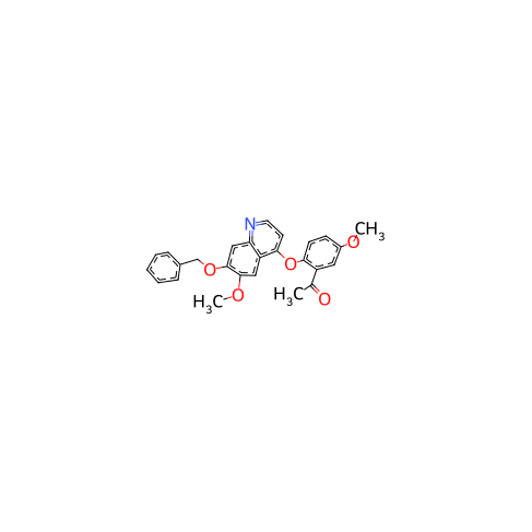 COc1ccc(Oc2ccnc3cc(OCc4ccccc4)c(OC)cc23)c(C(C)=O)c1